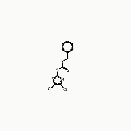 S=C(SCc1ccccc1)Sc1nc(Cl)c(Cl)s1